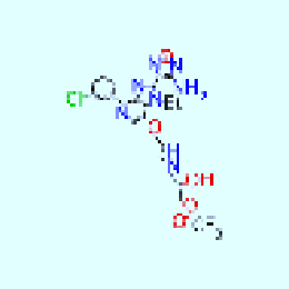 CCn1c(-c2nonc2N)nc2c(-c3cccc(Cl)c3)ncc(OCCCNCC(O)COC(=O)C(F)(F)F)c21